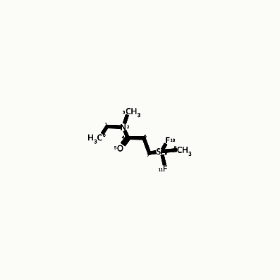 CCN(C)C(=O)CC[Si](C)(F)F